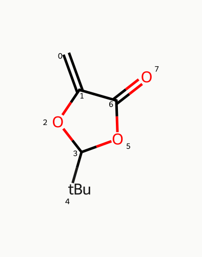 C=C1OC(C(C)(C)C)OC1=O